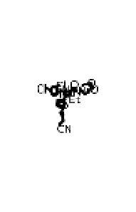 CCc1c(C(=O)NN2CCS(=O)(=O)CC2)nn(-c2ccc(Cl)cc2Cl)c1-c1ccc(C#CCCC#N)s1